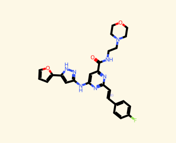 O=C(NCCN1CCOCC1)c1cc(Nc2cc(-c3ccco3)[nH]n2)nc(/C=C/c2ccc(F)cc2)n1